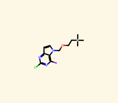 C[Si](C)(C)CCOCn1ccc2nc(Cl)nc(I)c21